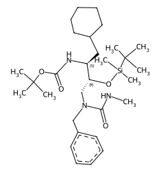 CNC(=O)N(Cc1ccccc1)C[C@@H](O[Si](C)(C)C(C)(C)C)[C@H](CC1CCCCC1)NC(=O)OC(C)(C)C